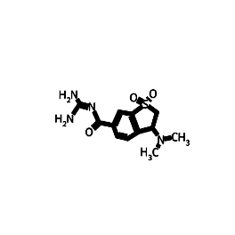 CN(C)C1CS(=O)(=O)c2cc(C(=O)N=C(N)N)ccc21